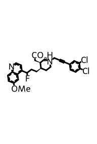 COc1ccc2nccc(C(F)CC[C@@H]3CCN(CC#Cc4ccc(Cl)c(Cl)c4)C[C@@H]3CC(=O)O)c2c1